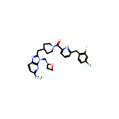 O=C(O)c1ccc2nc(CC3CCN(C(=O)c4cccc(Cc5ccc(Cl)cc5F)n4)CC3)n(C[C@@H]3CCO3)c2n1